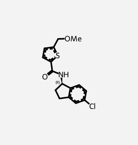 COCc1ccc(C(=O)N[C@@H]2CCc3cc(Cl)ccc32)s1